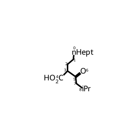 CCCCCCCCCC(C(=O)O)C(=O)CC(C)C